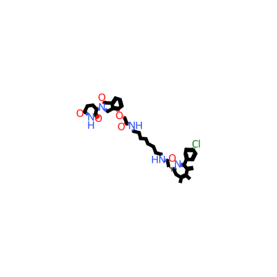 C=C1C(c2ccc(Cl)cc2)=N[C@@H](CC(=O)NCCCCCCCCNC(=O)COc2cccc3c2CN(C2CCC(=O)NC2=O)C3=O)CC(C)=C1C